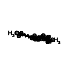 C=CC(=O)OCCCCCCOC(=O)Oc1ccc(C(=O)OC2COC3C2OC[C@@H]3C)cc1